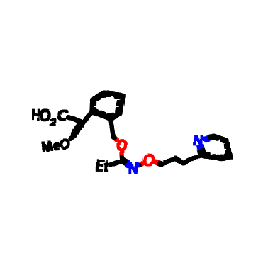 CCC(=NOCCCc1ccccn1)OCc1ccccc1C(=COC)C(=O)O